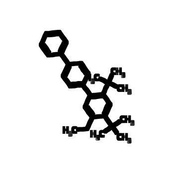 CCc1cc(-c2ccc(-c3ccccc3)cc2)c(C(C)(C)C)cc1C(C)(C)C